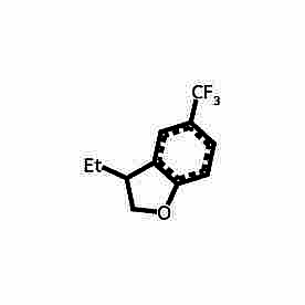 CCC1COc2ccc(C(F)(F)F)cc21